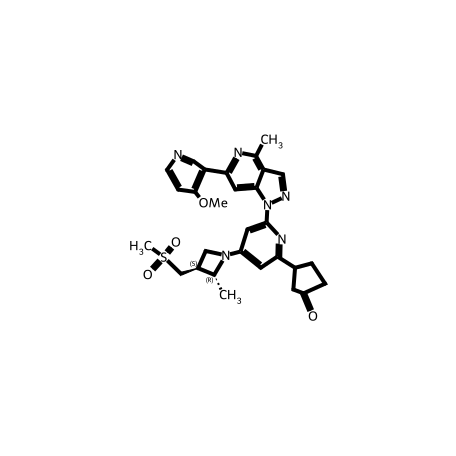 COc1ccncc1-c1cc2c(cnn2-c2cc(N3C[C@H](CS(C)(=O)=O)[C@H]3C)cc(C3CCC(=O)C3)n2)c(C)n1